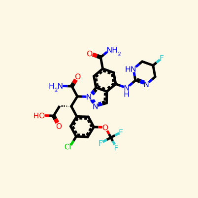 NC(=O)c1cc(NC2=NCC(F)CN2)c2cnn(C(C(N)=O)[C@@H](CC(=O)O)c3cc(Cl)cc(OC(F)(F)F)c3)c2c1